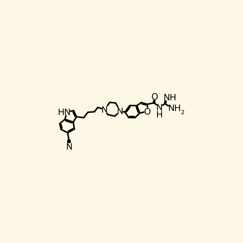 N#Cc1ccc2[nH]cc(CCCCN3CCN(c4ccc5oc(C(=O)NC(=N)N)cc5c4)CC3)c2c1